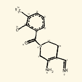 N=CC1=C(N)CN(C(=O)c2cccc(C(F)(F)F)c2Cl)CC1